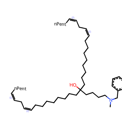 CCCCC/C=C\C/C=C\CCCCCCCCC(O)(CCCCCCCC/C=C\C/C=C\CCCCC)CCCCN(C)Cc1ccccc1